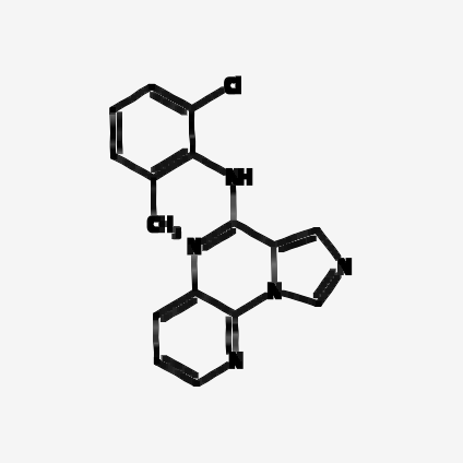 Cc1cccc(Cl)c1Nc1nc2cccnc2n2cncc12